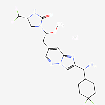 CO[C@@H](Cc1cnn2cc([C@@H](N)C3CCC(F)(F)CC3)nc2c1)N1C[C@@H](C(F)F)NC1=O.Cl